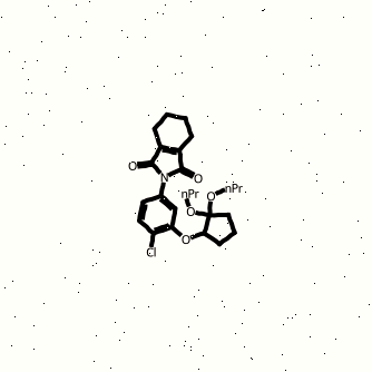 CCCOC1(OCCC)CCCC1Oc1cc(N2C(=O)C3=C(CCCC3)C2=O)ccc1Cl